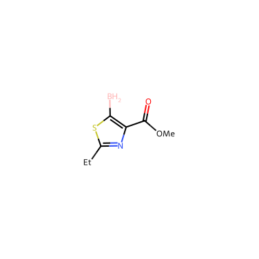 Bc1sc(CC)nc1C(=O)OC